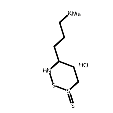 CNCCCC1CCS(=S)SN1.Cl